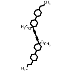 CCCC1CCC(C2CCC(C#CC#CC3(OC)CCC(C4CCC(CCC)CC4)CC3)(OC)CC2)CC1